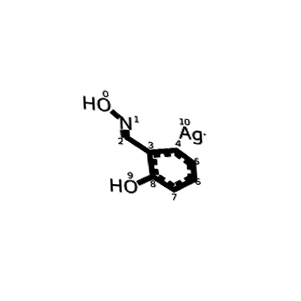 ON=Cc1ccccc1O.[Ag]